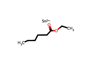 CCCCCC(=O)OCC.[Sn+2]